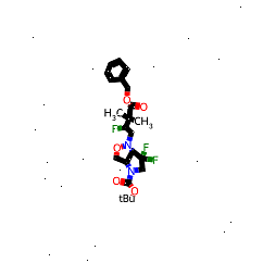 CC(C)(C)OC(=O)N1CC(F)(F)C2C1CON2CC(F)C(C)(C)C(=O)OCc1ccccc1